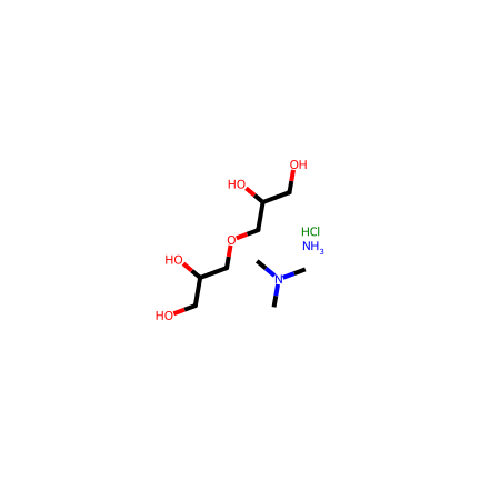 CN(C)C.Cl.N.OCC(O)COCC(O)CO